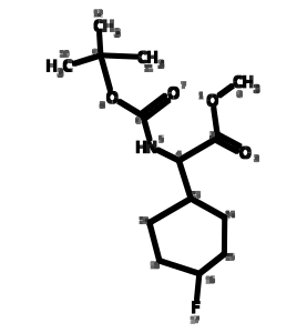 COC(=O)C(NC(=O)OC(C)(C)C)C1CCC(F)CC1